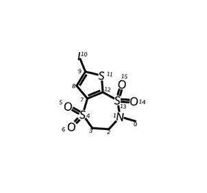 CN1CCS(=O)(=O)c2cc(I)sc2S1(=O)=O